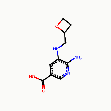 Nc1ncc(C(=O)O)cc1NC[C@@H]1CCO1